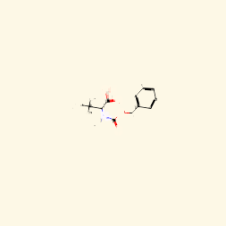 CN(C(=O)OCc1ccccc1)C(C(=O)O)C(C)(C)C